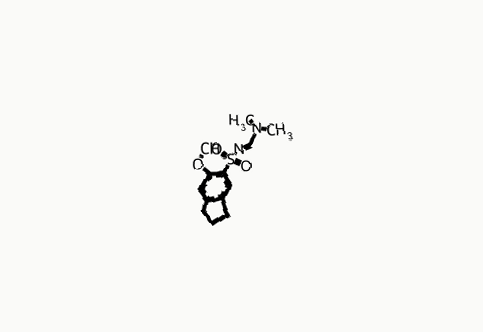 COc1cc2c(cc1S(=O)(=O)/N=C/N(C)C)CCC2